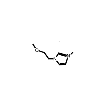 COCCn1cc[n+](C)c1.[I-]